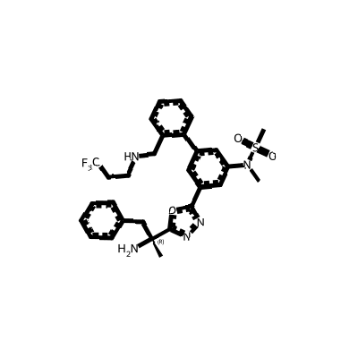 CN(c1cc(-c2nnc([C@](C)(N)Cc3ccccc3)o2)cc(-c2ccccc2CNCCC(F)(F)F)c1)S(C)(=O)=O